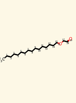 CCCCCCCCCCCCCCCCOCC=O